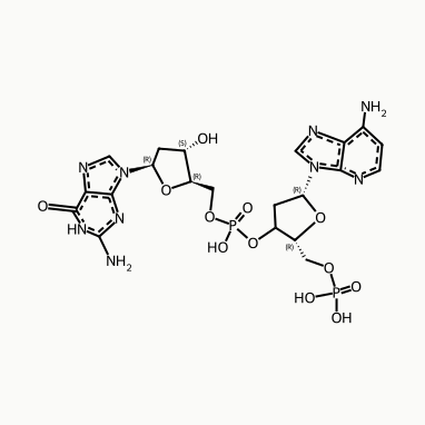 Nc1nc2c(ncn2[C@H]2C[C@H](O)[C@@H](COP(=O)(O)OC3C[C@H](n4cnc5c(N)ccnc54)O[C@@H]3COP(=O)(O)O)O2)c(=O)[nH]1